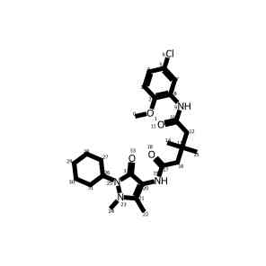 COc1ccc(Cl)cc1NC(=O)CC(C)(C)CC(=O)Nc1c(C)n(C)n(C2CCCCC2)c1=O